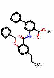 CC(=O)OCCc1ccc(OCc2ccccc2)c(C(=O)Nc2cc(-c3ccccc3)ccc2C(=O)OC(C)(C)C)c1